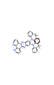 CC1(C)c2ccccc2N(c2cc3nc4c5cccnc5c5ncccc5c4nc3cc2N2c3ccccc3C(C)(C)c3ccccc32)c2ccccc21